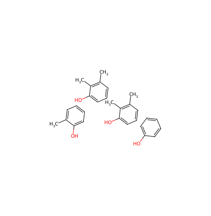 Cc1cccc(O)c1C.Cc1cccc(O)c1C.Cc1ccccc1O.Oc1ccccc1